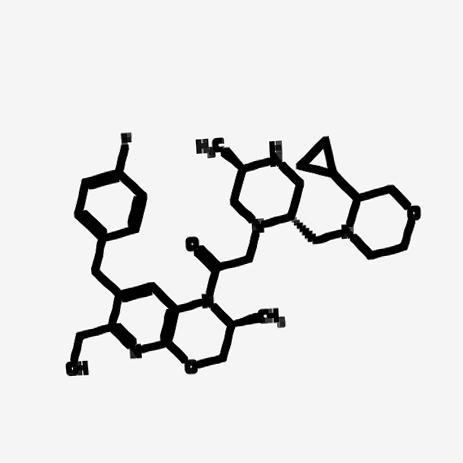 C[C@@H]1CN(CC(=O)N2c3cc(Cc4ccc(F)cc4)c(CO)nc3OC[C@@H]2C)[C@@H](CN2CCOCC2C2CC2)CN1